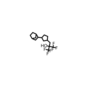 OC(CC1CCC(C2CC3CCC2C3)C1)(C(F)(F)F)C(F)(F)F